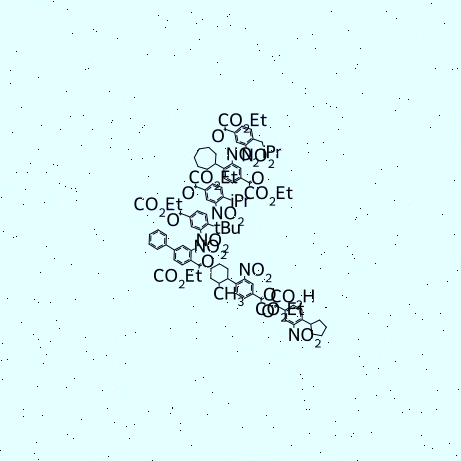 CCOC(=O)C(=O)c1ccc(-c2ccccc2)cc1[N+](=O)[O-].CCOC(=O)C(=O)c1ccc(C(C)(C)C)c([N+](=O)[O-])c1.CCOC(=O)C(=O)c1ccc(C(C)C)c([N+](=O)[O-])c1.CCOC(=O)C(=O)c1ccc(C2CCCCC2C)c([N+](=O)[O-])c1.CCOC(=O)C(=O)c1ccc(C2CCCCCC2)c([N+](=O)[O-])c1.CCOC(=O)C(=O)c1ccc(CC(C)C)c([N+](=O)[O-])c1.O=C(O)C(=O)c1ccc(C2CCCC2)c([N+](=O)[O-])c1